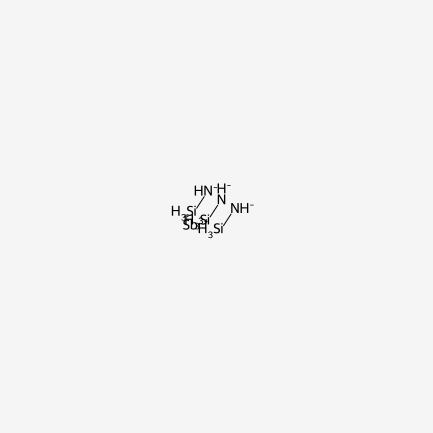 [NH-][SiH3].[NH-][SiH3].[NH-][SiH3].[Sb+3]